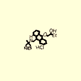 CCC(O)COc1c2ccccc2c(CNC(C)(CO)CO)c2ccccc12.Cl